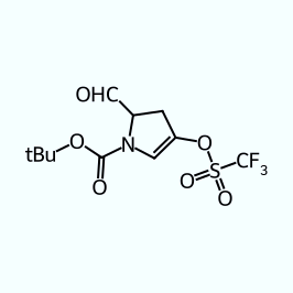 CC(C)(C)OC(=O)N1C=C(OS(=O)(=O)C(F)(F)F)CC1C=O